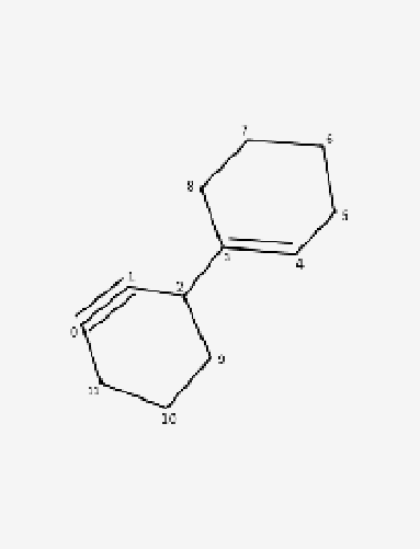 C1#CC(C2=CCCCC2)CCC1